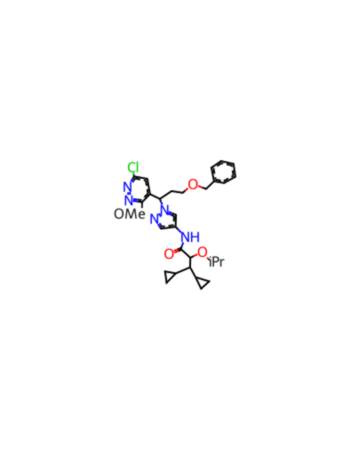 COc1nnc(Cl)cc1C(CCOCc1ccccc1)n1cc(NC(=O)C(OC(C)C)C(C2CC2)C2CC2)cn1